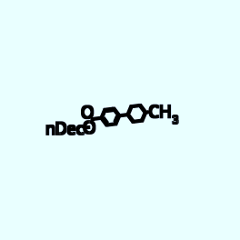 CCCCCCCCCCOC(=O)c1ccc(C2CCC(C)CC2)cc1